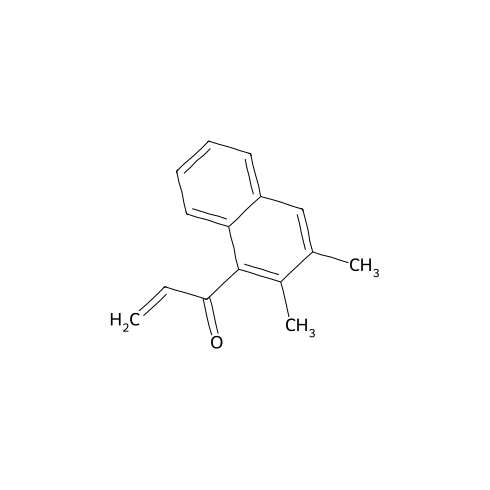 C=CC(=O)c1c(C)c(C)cc2ccccc12